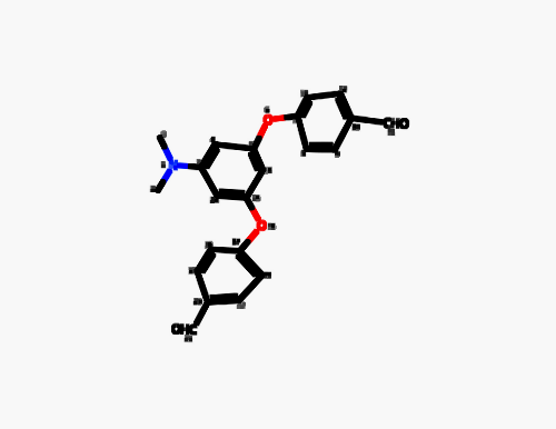 CN(C)c1cc(Oc2ccc(C=O)cc2)cc(Oc2ccc(C=O)cc2)c1